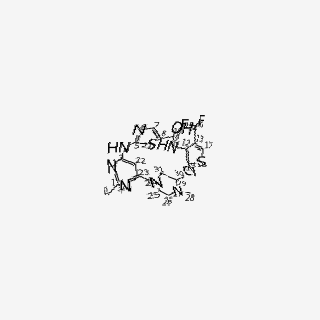 Cc1nc(Nc2ncc(C(O)Nc3c(C(F)F)csc3Cl)s2)cc(N2CCN(C)C(C)C2)n1